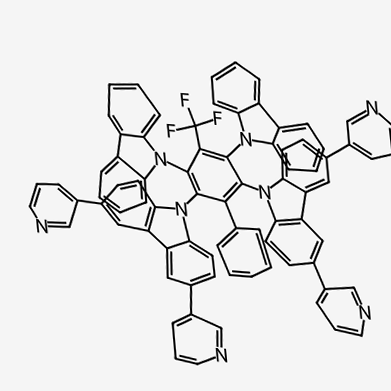 FC(F)(F)c1c(-n2c3ccccc3c3ccccc32)c(-n2c3ccc(-c4cccnc4)cc3c3cc(-c4cccnc4)ccc32)c(-c2ccccc2)c(-n2c3ccc(-c4cccnc4)cc3c3cc(-c4cccnc4)ccc32)c1-n1c2ccccc2c2ccccc21